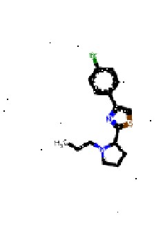 CCCN1CCCC1c1nc(-c2ccc(Br)cc2)cs1